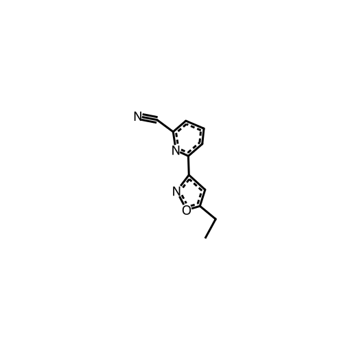 CCc1cc(-c2cccc(C#N)n2)no1